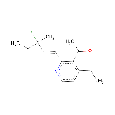 CCc1ccnc(/C=C/C(C)(F)CC)c1C(C)=O